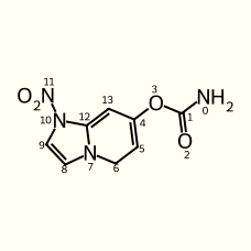 NC(=O)OC1=CCN2C=CN([N+](=O)[O-])C2=C1